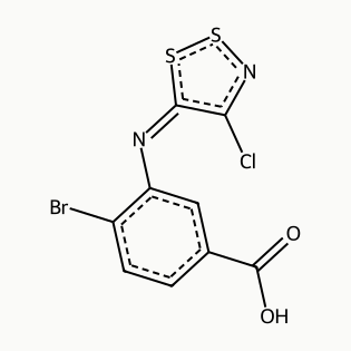 O=C(O)c1ccc(Br)c(N=c2ssnc2Cl)c1